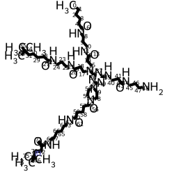 CCCCCC(=O)NCCCNC(=O)CCN(CCC(=O)NCCCNC(=O)CCCCC(C)(C)C)c1nc(NCCC(=O)NCCCN)nc(N2CCN(C(=O)CCCC(=O)NCCCCCCNC(=O)/C=C/C(C)(C)C)CC2)n1